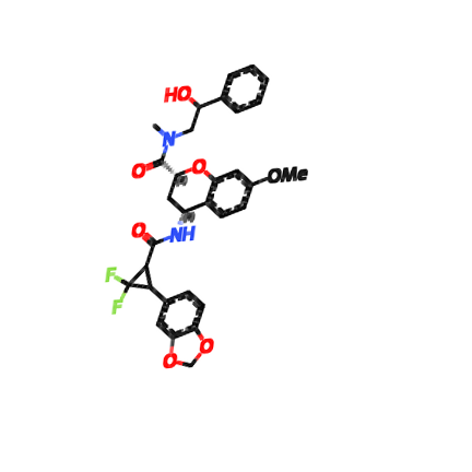 COc1ccc2c(c1)O[C@@H](C(=O)N(C)CC(O)c1ccccc1)C[C@H]2NC(=O)C1C(c2ccc3c(c2)OCO3)C1(F)F